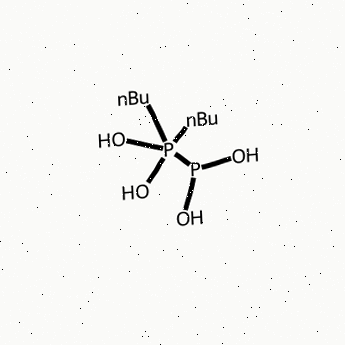 CCCCP(O)(O)(CCCC)P(O)O